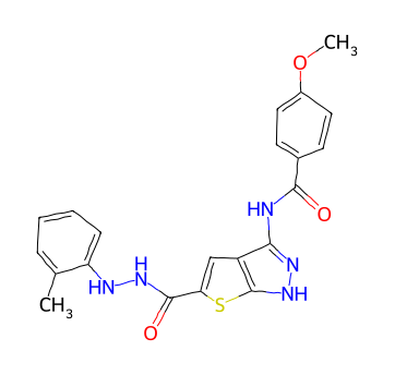 COc1ccc(C(=O)Nc2n[nH]c3sc(C(=O)NNc4ccccc4C)cc23)cc1